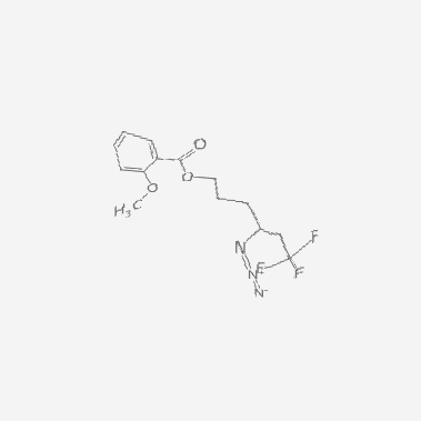 COc1ccccc1C(=O)OCCCC(CC(F)(F)F)N=[N+]=[N-]